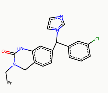 CC(C)CN1Cc2ccc(C(c3cccc(Cl)c3)n3ccnc3)cc2NC1=O